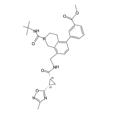 COC(=O)c1cccc(-c2ccc(CNC(=O)[C@@H]3C[C@@H]3c3nc(C)no3)c3c2CCN(C(=O)NC(C)(C)C)C3)c1